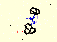 N=C(Nc1ccc2c3c(cccc13)C=C2O)NC12CC3CC(CC(C3)C1)C2